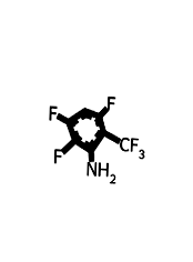 Nc1c(F)c(F)cc(F)c1C(F)(F)F